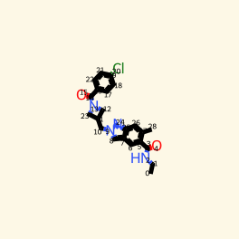 CCNC(=O)c1cc2cn(CC3CN(C(=O)c4ccc(Cl)cc4)C3)nc2cc1C